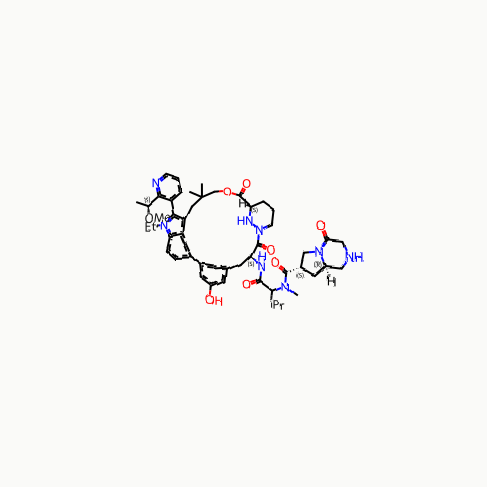 CCn1c(-c2cccnc2[C@H](C)OC)c2c3cc(ccc31)-c1cc(O)cc(c1)C[C@H](NC(=O)C(C(C)C)N(C)C(=O)[C@H]1C[C@@H]3CNCC(=O)N3C1)C(=O)N1CCC[C@H](N1)C(=O)OCC(C)(C)C2